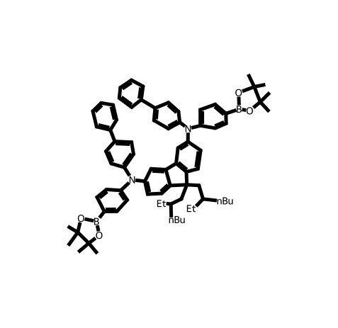 CCCCC(CC)CC1(CC(CC)CCCC)c2ccc(N(c3ccc(B4OC(C)(C)C(C)(C)O4)cc3)c3ccc(-c4ccccc4)cc3)cc2-c2cc(N(c3ccc(B4OC(C)(C)C(C)(C)O4)cc3)c3ccc(-c4ccccc4)cc3)ccc21